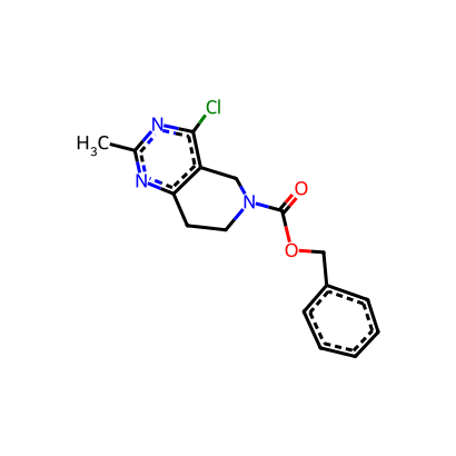 Cc1nc(Cl)c2c(n1)CCN(C(=O)OCc1ccccc1)C2